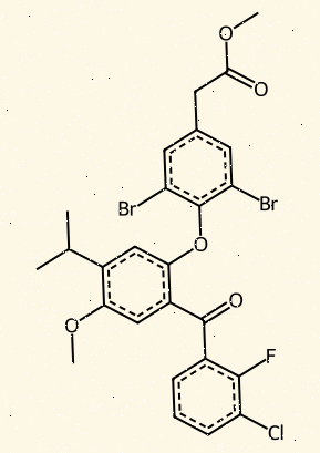 COC(=O)Cc1cc(Br)c(Oc2cc(C(C)C)c(OC)cc2C(=O)c2cccc(Cl)c2F)c(Br)c1